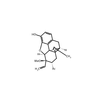 C=C[C@@]1(OC)[C@@H](C(C)=O)C[C@@]2(C)[C@@H]3Cc4ccc(O)c5c4[C@]2(CCN3C)[C@@H]1O5